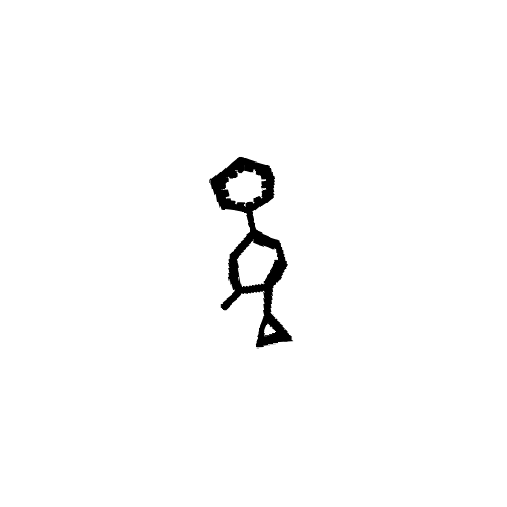 C[C]1CC(c2ccccc2)=CC=C1C1CC1